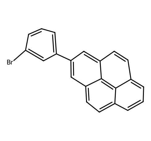 Brc1cccc(-c2cc3ccc4cccc5ccc(c2)c3c45)c1